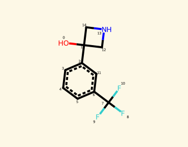 OC1(c2cccc(C(F)(F)F)c2)CNC1